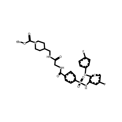 CC(C)(C)OC(=O)N1CCC(CNC(=O)CNC(=O)c2ccc(S(=O)(=O)Nc3cc(F)ccc3Oc3ccc(F)cc3)cc2)CC1